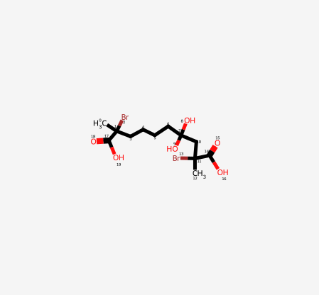 CC(Br)(CCCCC(O)(O)CC(C)(Br)C(=O)O)C(=O)O